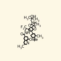 COc1cc(C(=O)NCC(c2cc3c(c(-c4ccc(F)c(C)c4)n2)OC[C@]3(C)C(=O)NCC(C)(C)O)C(F)(F)F)cc2cc(C)cnc12